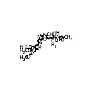 C=C(F)/C(=C\C=C(/C)NC(=O)Nc1cc(C)on1)Oc1ccnc2cc(-c3ccc(CN(CCOC)C(=O)OC(C)(C)C)cn3)sc12